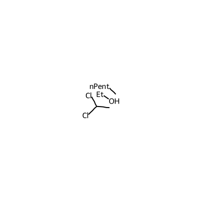 CC(Cl)Cl.CCCCCC.CCO